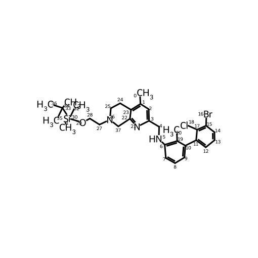 Cc1cc(CNc2cccc(-c3cccc(Br)c3Cl)c2C)nc2c1CCN(CCO[Si](C)(C)C(C)(C)C)C2